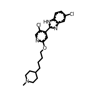 CN1CCC(CCCCOc2cc(-c3nc4cc(Cl)ccc4[nH]3)c(Cl)cn2)CC1